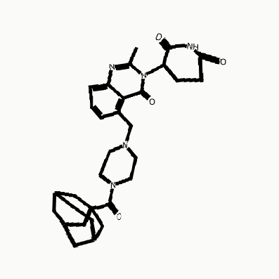 Cc1nc2cccc(CN3CCN(C(=O)C45CC6CC(CC(C6)C4)C5)CC3)c2c(=O)n1C1CCC(=O)NC1=O